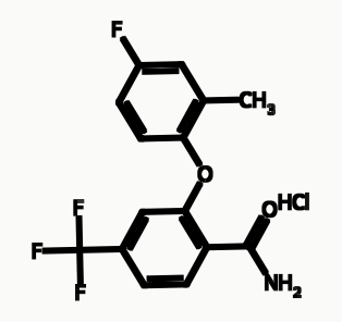 Cc1cc(F)ccc1Oc1cc(C(F)(F)F)ccc1C(N)=O.Cl